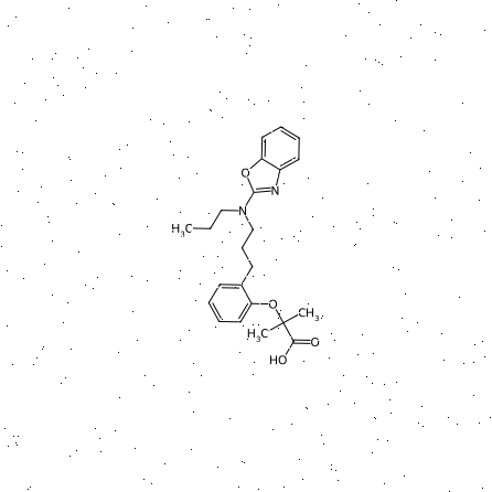 CCCN(CCCc1ccccc1OC(C)(C)C(=O)O)c1nc2ccccc2o1